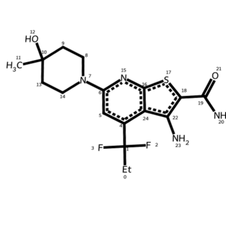 CCC(F)(F)c1cc(N2CCC(C)(O)CC2)nc2sc(C(N)=O)c(N)c12